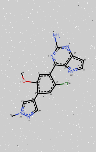 COc1cc(-c2nc(N)nc3cc[nH]c23)c(Cl)cc1-c1cnn(C)c1